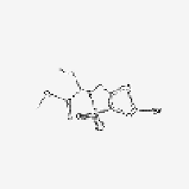 CCC(C(=O)OC)N1Cc2sc(Br)cc2S1(=O)=O